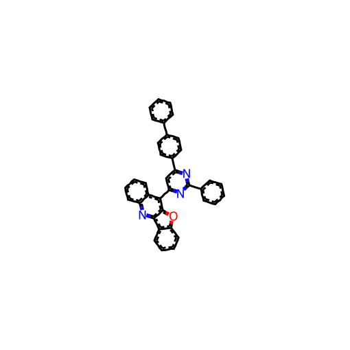 c1ccc(-c2ccc(-c3cc(-c4c5ccccc5nc5c4oc4ccccc45)nc(-c4ccccc4)n3)cc2)cc1